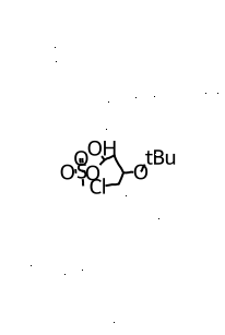 CC(C)(C)OC(CCl)CC(O)OS(C)(=O)=O